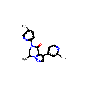 Cc1cc(-c2cnn3c2C(=O)N(c2ccc(C(F)(F)F)cn2)CC3C)ccn1